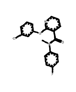 CN(C(=O)c1cccnc1Oc1cccc(Cl)c1)c1ccc(F)cc1